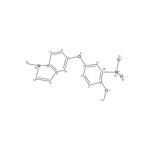 COc1ccc(Oc2ccc3c(ccn3C)c2)cc1[N+](=O)[O-]